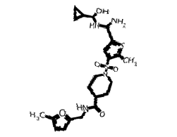 Cc1ccc(CNC(=O)C2CCN(S(=O)(=O)c3cc(C(N)NC(O)C4CC4)sc3C)CC2)o1